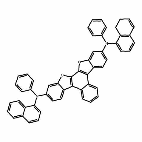 C1=Cc2cccc(N(c3ccccc3)c3ccc4c(c3)oc3c5oc6cc(N(c7ccccc7)c7cccc8ccccc78)ccc6c5c5ccccc5c43)c2CC1